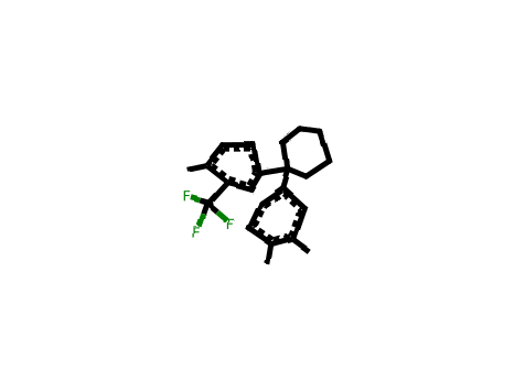 Cc1ccc(C2(c3ccc(C)c(C(F)(F)F)c3)CCCCC2)cc1C